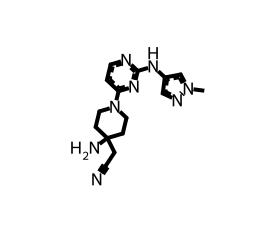 Cn1cc(Nc2nccc(N3CCC(N)(CC#N)CC3)n2)cn1